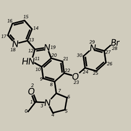 CC(=O)N1CCCC1c1cc2[nH]c(-c3ccccn3)nc2cc1Oc1ccc(Br)nc1